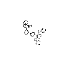 C1=CC2NC(c3cccc(-c4ccc(-c5c6oc7ccccc7c6cc6c5oc5ccccc56)cc4)c3)=CN2C=C1